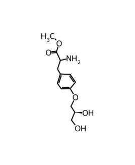 COC(=O)C(N)Cc1ccc(OC[C@@H](O)CO)cc1